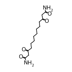 NC(=O)CC(=O)CCCCCCCCC(=O)CC(N)=O